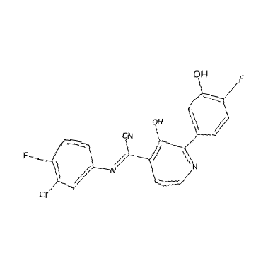 N#C/C(=N\c1ccc(F)c(Cl)c1)c1ccnc(-c2ccc(F)c(O)c2)c1O